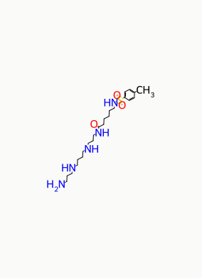 Cc1ccc(S(=O)(=O)NCCCCCC(=O)NCCCNCCCCNCCCN)cc1